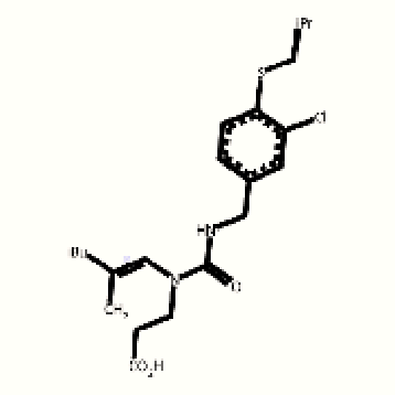 CCC(C)/C(C)=C/N(CCC(=O)O)C(=O)NCc1ccc(SCC(C)C)c(Cl)c1